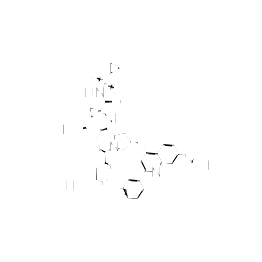 C=C[C@@H]1C[C@]1(NC(=O)C1C[C@@H](Oc2cc(-c3ccccc3)nc3cc(OC)ccc23)CN1C(=O)C(=O)CC(C)C)C(=O)NS(=O)(=O)C1CC1